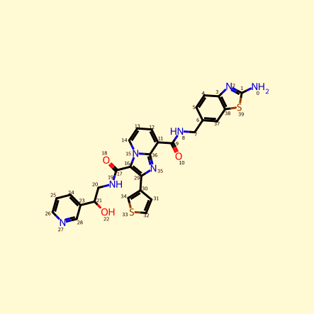 Nc1nc2ccc(CNC(=O)c3cccn4c(C(=O)NCC(O)c5cccnc5)c(-c5ccsc5)nc34)cc2s1